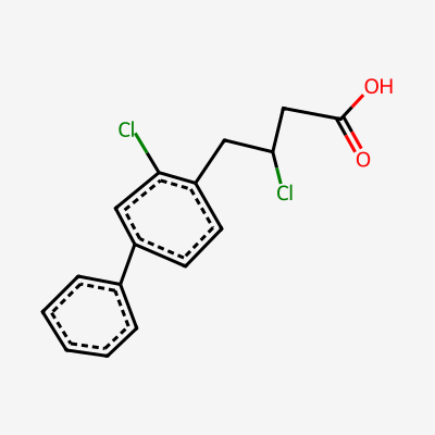 O=C(O)CC(Cl)Cc1ccc(-c2ccccc2)cc1Cl